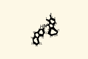 Cc1ccc2c(c1C)C(Nc1ccc3c(c1)Cc1ccccc1-3)c1ccccc1-2